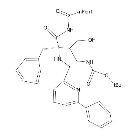 CCCCCC(=O)NC(=O)[C@](Cc1ccccc1)(NCc1cccc(-c2ccccc2)n1)C(CO)CNC(=O)OC(C)(C)C